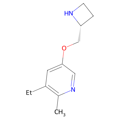 CCc1cc(OC[C@H]2CCN2)cnc1C